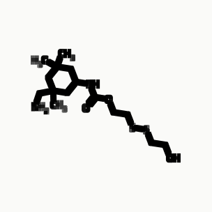 CC1(C)CC(NC(=O)OCCSSCCO)CC(C)(CN)C1